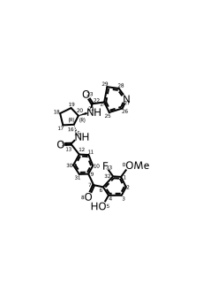 COc1ccc(O)c(C(=O)c2ccc(C(=O)N[C@@H]3CCC[C@H]3NC(=O)c3ccncc3)cc2)c1F